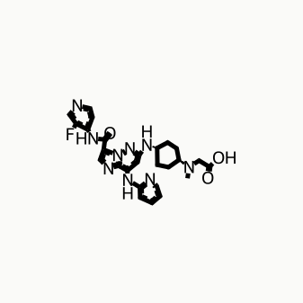 CN(CC(=O)O)[C@H]1CC[C@H](Nc2cc(Nc3ccccn3)c3ncc(C(=O)Nc4ccncc4F)n3n2)CC1